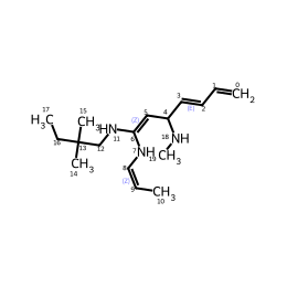 C=C/C=C/C(/C=C(\N/C=C\C)NCC(C)(C)CC)NC